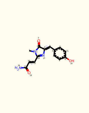 CN1C(=O)/C(=C/c2ccc(O)cc2)N=C1/C=C/C(N)=O